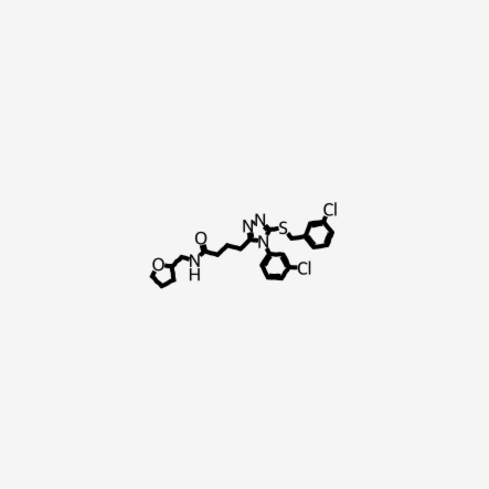 O=C(CCCc1nnc(SCc2cccc(Cl)c2)n1-c1cccc(Cl)c1)NCC1CCCO1